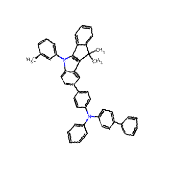 Cc1cccc(-n2c3c(c4cc(-c5ccc(N(c6ccccc6)c6ccc(-c7ccccc7)cc6)cc5)ccc42)C(C)(C)c2ccccc2-3)c1